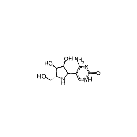 Nc1nc(=O)[nH]cc1C1N[C@H](CO)[C@@H](O)[C@H]1O